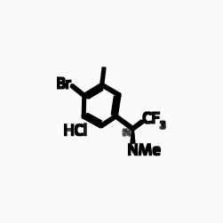 CN[C@@H](c1ccc(Br)c(C)c1)C(F)(F)F.Cl